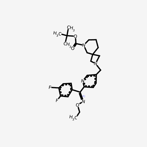 CCO/N=C(\c1ccc(F)c(F)c1)c1ccc(CN2CC3(CCCN(C(=O)OC(C)(C)C)C3)C2)cn1